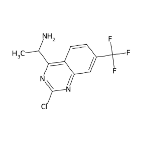 CC(N)c1nc(Cl)nc2cc(C(F)(F)F)ccc12